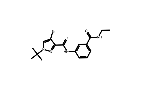 CCNC(=O)c1cccc(NC(=O)c2nn(C(C)(C)C)cc2Br)c1